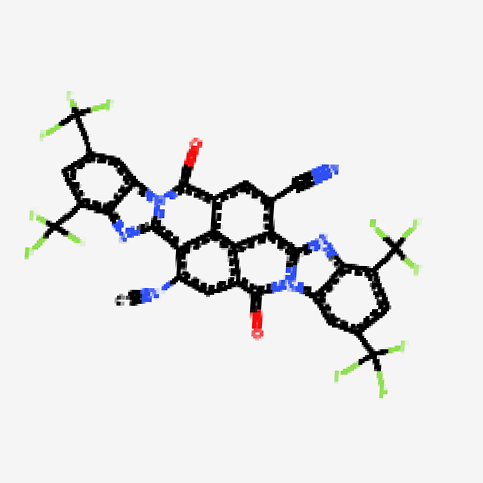 [C-]#[N+]c1cc2c(=O)n3c4cc(C(F)(F)F)cc(C(F)(F)F)c4nc3c3c(C#N)cc4c(=O)n5c6cc(C(F)(F)F)cc(C(F)(F)F)c6nc5c1c4c23